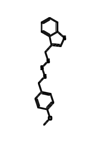 COc1ccc(CSSSCc2csc3ccccc23)cc1